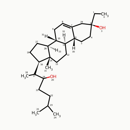 CC[C@]1(O)CC[C@H]2C(=CC[C@@H]3[C@@H]2CC[C@]2(C)[C@@H](C(C)C(O)CCC(C)C)CC[C@@H]32)C1